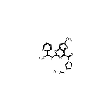 COC[C@H]1CCN(C(=O)c2nc(NC(C)c3ccccn3)nc3cc(C)sc23)C1